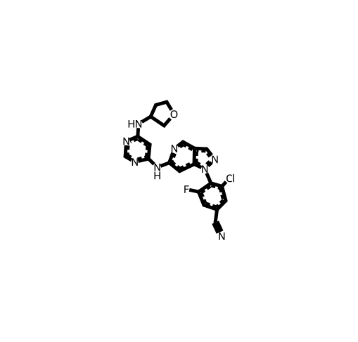 N#Cc1cc(F)c(-n2ncc3cnc(Nc4cc(NC5CCOC5)ncn4)cc32)c(Cl)c1